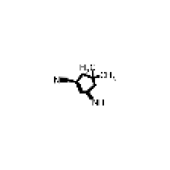 CC1(C)CC(=N)C=C(C#N)C1